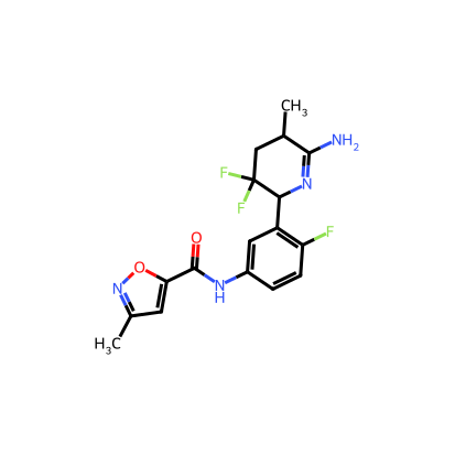 Cc1cc(C(=O)Nc2ccc(F)c(C3N=C(N)C(C)CC3(F)F)c2)on1